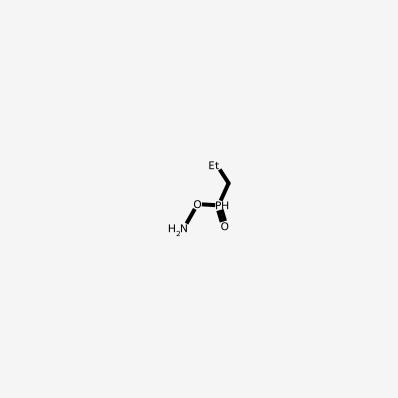 CCC[PH](=O)ON